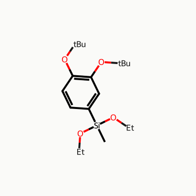 CCO[Si](C)(OCC)c1ccc(OC(C)(C)C)c(OC(C)(C)C)c1